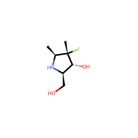 C[C@@H]1N[C@H](CO)[C@@H](O)[C@@]1(C)F